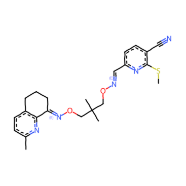 CSc1nc(/C=N/OCC(C)(C)CO/N=C2\CCCc3ccc(C)nc32)ccc1C#N